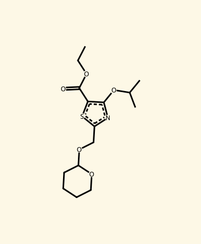 CCOC(=O)c1sc(COC2CCCCO2)nc1OC(C)C